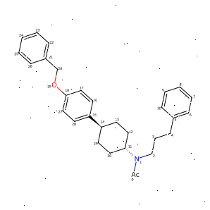 CC(=O)N(CCCc1ccccc1)[C@H]1CC[C@H](c2ccc(OCc3ccccc3)cc2)CC1